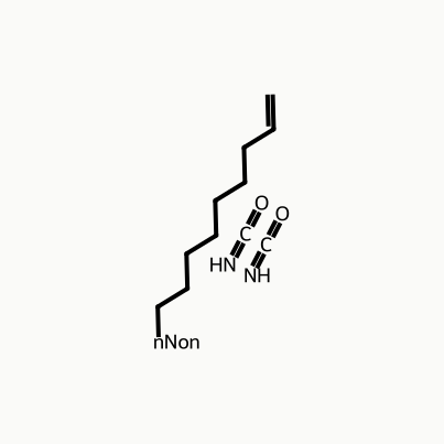 C=CCCCCCCCCCCCCCCCC.N=C=O.N=C=O